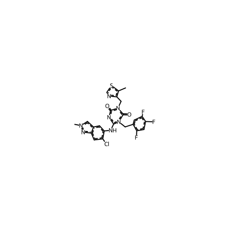 Cc1scnc1Cn1c(=O)nc(Nc2cc3cn(C)nc3cc2Cl)n(Cc2cc(F)c(F)cc2F)c1=O